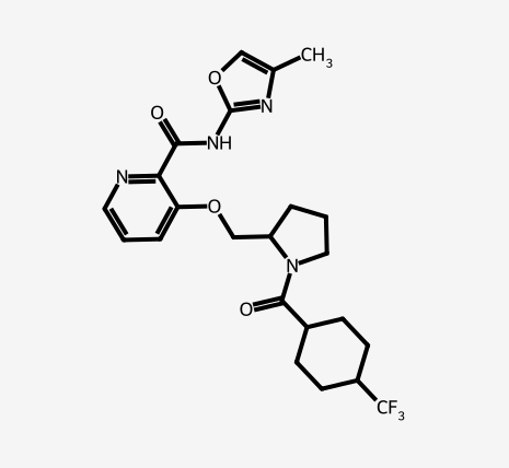 Cc1coc(NC(=O)c2ncccc2OCC2CCCN2C(=O)C2CCC(C(F)(F)F)CC2)n1